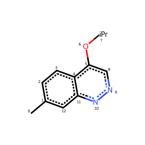 Cc1ccc2c(OC(C)C)cnnc2c1